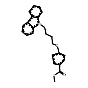 COC(=O)c1ccc(OCCCCn2c3ccccc3c3ccccc32)cc1